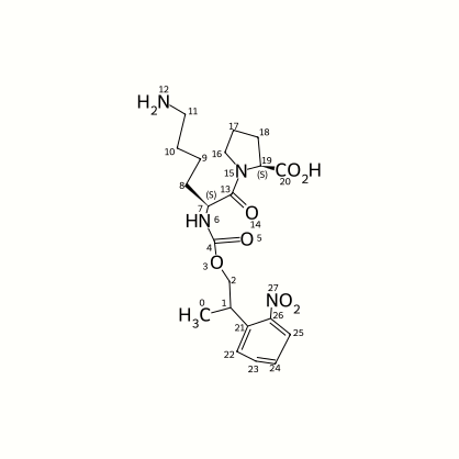 CC(COC(=O)N[C@@H](CCCCN)C(=O)N1CCC[C@H]1C(=O)O)c1ccccc1[N+](=O)[O-]